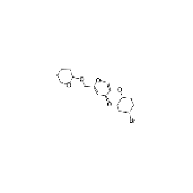 O=c1cc(COC2CCCCO2)occ1OC1CCC(Br)CC1